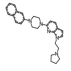 c1ccc2cc(N3CCN(c4ccc5ccn(CCN6CCCC6)c5n4)CC3)ccc2c1